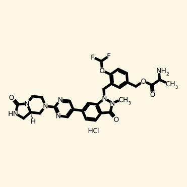 CC(N)C(=O)OCc1ccc(OC(F)F)c(Cn2c3cc(-c4cnc(N5CCN6C(=O)NC[C@@H]6C5)nc4)ccc3c(=O)n2C)c1.Cl